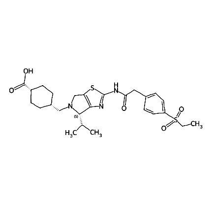 CCS(=O)(=O)c1ccc(CC(=O)Nc2nc3c(s2)CN(C[C@H]2CC[C@@H](C(=O)O)CC2)[C@H]3C(C)C)cc1